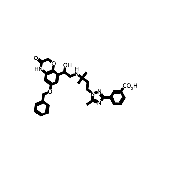 Cc1nc(-c2cccc(C(=O)O)c2)nn1CCC(C)(C)NCC(O)c1cc(OCc2ccccc2)cc2c1OCC(=O)N2